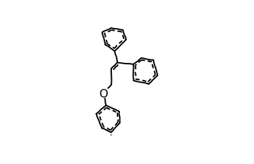 [c]1ccc(OCC=C(c2ccccc2)c2ccccc2)cc1